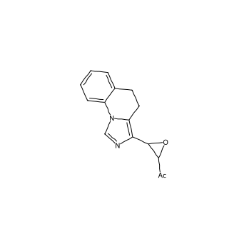 CC(=O)C1OC1c1ncn2c1CCc1ccccc1-2